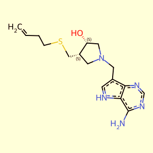 C=CCCSC[C@H]1CN(Cc2c[nH]c3c(N)ncnc23)C[C@H]1O